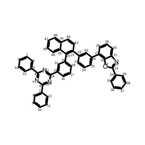 c1ccc(-c2nc(-c3ccccc3)nc(-c3cccc(-c4c(-c5cccc(-c6cccc7nc(-c8ccccc8)oc67)c5)ccc5ccccc45)c3)n2)cc1